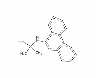 CCCC(C)(C)Pc1cc2ccccc2c2ccccc12